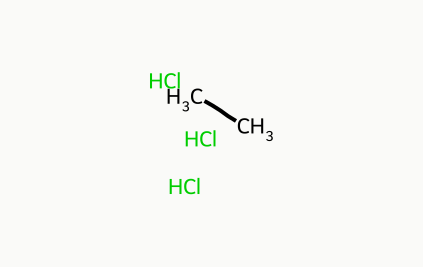 CC.Cl.Cl.Cl